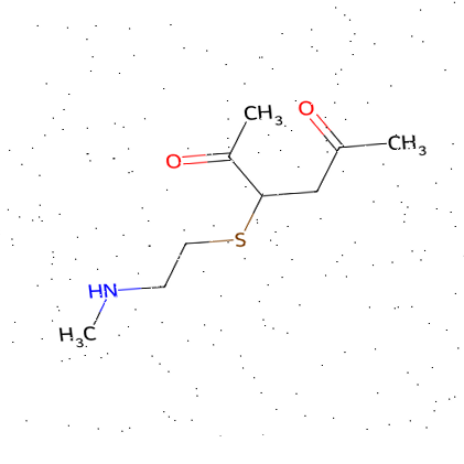 CNCCSC(CC(C)=O)C(C)=O